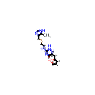 Cc1[nH]cnc1CSCCNc1nc(=O)c(Cc2ccco2)n[nH]1